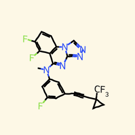 CN(c1cc(F)cc(C#CC2(C(F)(F)F)CC2)c1)c1nc2nncn2c2ccc(F)c(F)c12